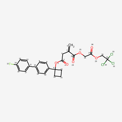 C=C(CC(=O)OC1(c2ccc(-c3ccc(F)cc3)cc2)CCC1)C(=O)OCC(=O)OCC(Cl)(Cl)Cl